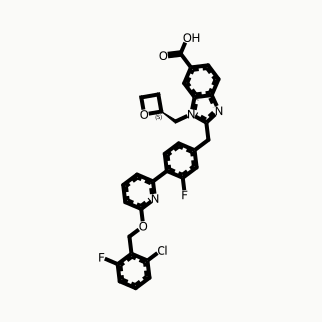 O=C(O)c1ccc2nc(Cc3ccc(-c4cccc(OCc5c(F)cccc5Cl)n4)c(F)c3)n(C[C@@H]3CCO3)c2c1